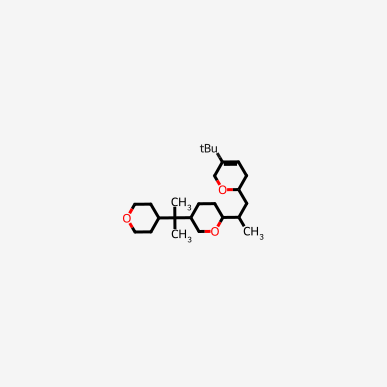 CC(CC1CC=C(C(C)(C)C)CO1)C1CCC(C(C)(C)C2CCOCC2)CO1